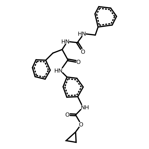 O=C(NCc1ccccc1)NC(Cc1ccccc1)C(=O)Nc1ccc(NC(=O)OC2CC2)cc1